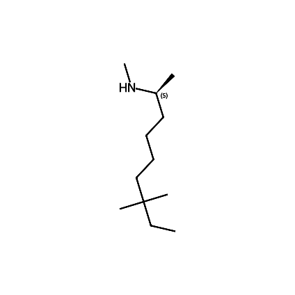 CCC(C)(C)CCCC[C@H](C)NC